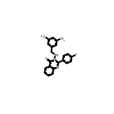 O=c1c2ccccc2nc(-c2ccc(F)cc2)n1NCc1cc(C(F)(F)F)cc(C(F)(F)F)c1